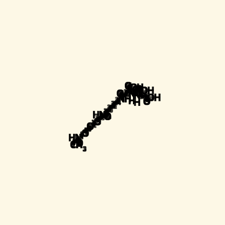 CCC(=O)NCCOCCOCCOCCNC(=O)CCCCCCCNC(=O)CCC(NC(=O)NC(CCC(=O)O)C(=O)O)C(=O)O